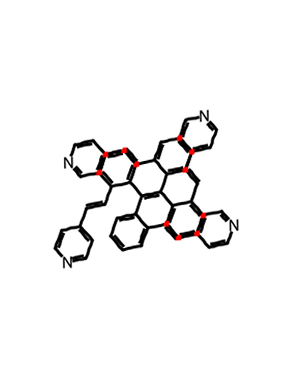 C(=Cc1ccccc1C(=C(c1ccccc1C=Cc1ccncc1)c1ccccc1C=Cc1ccncc1)c1ccccc1C=Cc1ccncc1)c1ccncc1